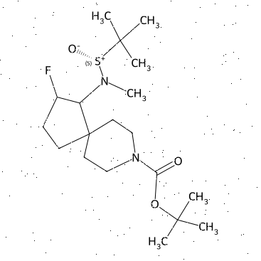 CN(C1C(F)CCC12CCN(C(=O)OC(C)(C)C)CC2)[S@+]([O-])C(C)(C)C